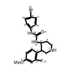 COc1ccc(C2CNCCC2NC(=O)Nc2ccc(Br)cc2)c(F)c1